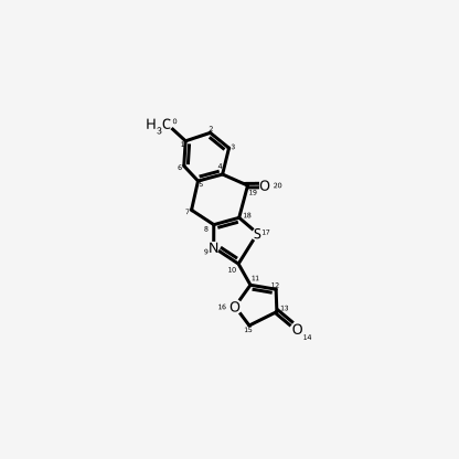 Cc1ccc2c(c1)Cc1nc(C3=CC(=O)CO3)sc1C2=O